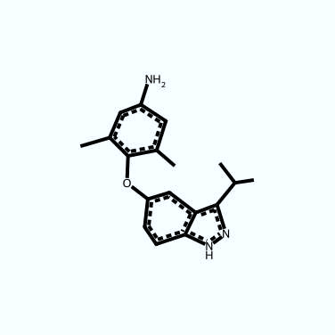 Cc1cc(N)cc(C)c1Oc1ccc2[nH]nc(C(C)C)c2c1